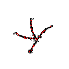 O=C(CCOCCOCCn1cc(COCCOCCOCCOCCO)nn1)NCCCC[C@H](NC(=O)CCCNC(=O)CCOCCOCCn1cc(COCCOCCOCCOCCO)nn1)C(=O)N[C@@H](CCCCNC(=O)CCOCCOCCn1cc(COCCOCCOCCOCCO)nn1)C(=O)NCCOCCOCCOCCOCCC(=O)Oc1c(F)c(F)c(F)c(F)c1F